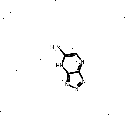 Nc1cnc2nnnc-2[nH]1